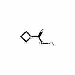 NNC(=O)N1CCC1